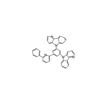 c1ccc(-c2cccc(-c3cc(-n4c5ccccc5c5ncccc54)cc(-n4c5ccccc5c5ncccc54)c3)n2)cc1